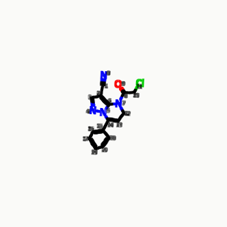 N#Cc1cnn2c1N(C(=O)CCl)CC=C2c1ccccc1